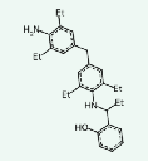 CCc1cc(Cc2cc(CC)c(NC(CC)c3ccccc3O)c(CC)c2)cc(CC)c1N